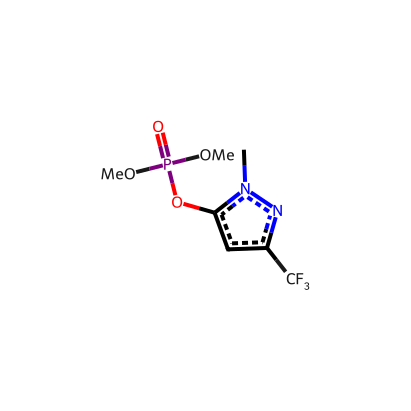 COP(=O)(OC)Oc1cc(C(F)(F)F)nn1C